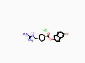 Cl.N=C(N)NC[C@H]1CC[C@H](C(=O)Oc2ccc3cc(Br)ccc3c2)CC1